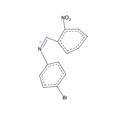 O=[N+]([O-])c1ccccc1/C=N\c1ccc(Br)cc1